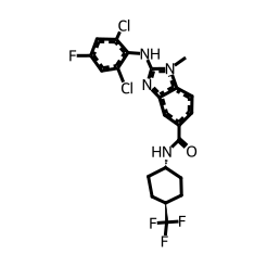 Cn1c(Nc2c(Cl)cc(F)cc2Cl)nc2cc(C(=O)N[C@H]3CC[C@H](C(F)(F)F)CC3)ccc21